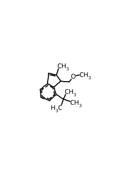 COCC1C(C)=Cc2cccc(C(C)(C)C)c21